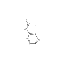 C[Si](C)Oc1ccccc1